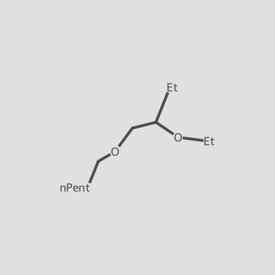 CCCCCCOCC(CC)OCC